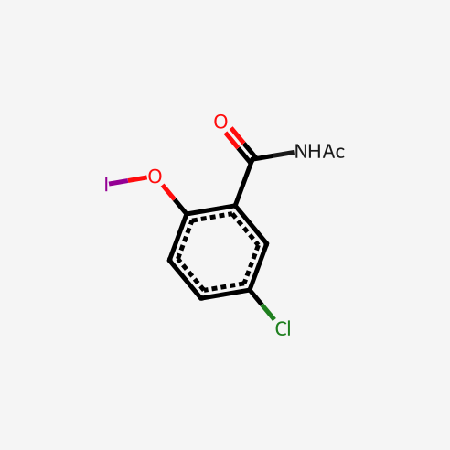 CC(=O)NC(=O)c1cc(Cl)ccc1OI